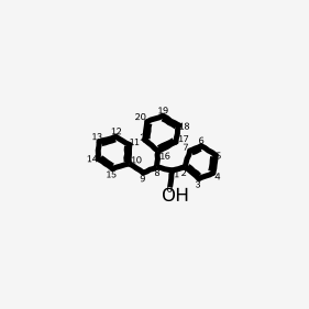 OC(c1ccccc1)C(Cc1ccccc1)c1ccccc1